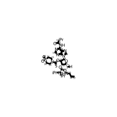 [2H]C[C@H]1O[C@@H](n2cnc3c(NC(=O)C(C)C)ncnc32)C(OC(=S)N2CCS(=O)(=O)CC2)[C@H]1OP(ONCC=C)N(C(C)C)C(C)C